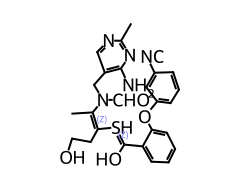 C/C(=C(CCO)/[SH]=C(\O)c1ccccc1Oc1cccc(C#N)c1)N(C=O)Cc1cnc(C)nc1N